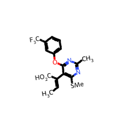 CC=C(C(=O)O)c1c(Oc2cccc(C(F)(F)F)c2)nc(C)nc1SC